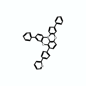 c1ccc(-c2ccc3c(c2)Oc2ccc(-c4ccc(-c5ccccn5)cc4)c4c2B3c2ccc(-c3ccccc3)cc2O4)cc1